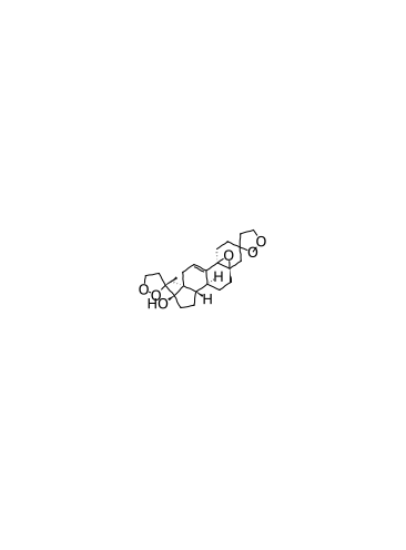 C[C@]1([C@@]2(O)CC[C@H]3[C@@H]4CC[C@@]56CC7(CCOO7)CC[C@@]5(O6)C4=CC[C@@]32C)CCOO1